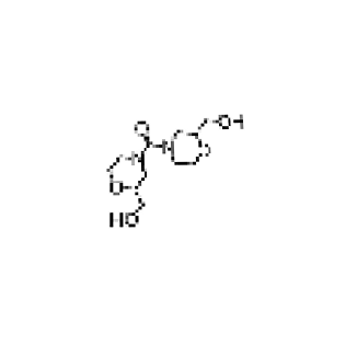 O=C(N1CCO[C@H](CO)C1)N1CCO[C@H](CO)C1